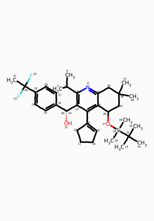 CC(C)c1nc2c(c(C3=CCCC3)c1[C@H](O)c1ccc(C(C)(F)F)cc1)C(O[Si](C)(C)C(C)(C)C)CC(C)(C)C2